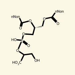 CCCCCCCCCC(=O)OC[C@H](COP(=O)(O)OC(CO)C(=O)O)OC(=O)CCCCCCCCC